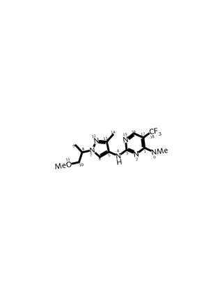 CNc1nc(Nc2cn(C(C)COC)nc2C)ncc1C(F)(F)F